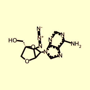 [N-]=[N+]=NC1C2OC[C@@]1(CO)O[C@H]2n1cnc2c(N)ncnc21